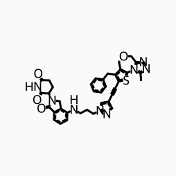 Cc1nnc2n1-c1sc(C#Cc3cnn(CCCNc4cccc5c4CN(C4CCC(=O)NC4=O)C5=O)c3)c(Cc3ccccc3)c1COC2